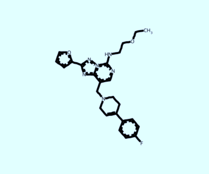 CCOCCNc1ncc(CN2CC=C(c3ccc(F)cc3)CC2)c2nc(-c3ccco3)nn12